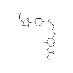 COCc1noc(N2CCC([C@H]3C[C@H]3CCOc3cc(F)c(CC(=O)OC)c(F)c3)CC2)n1